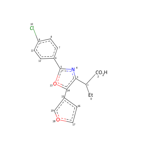 CCC(C(=O)O)c1nc(-c2ccc(Cl)cc2)oc1-c1ccoc1